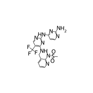 CN(c1ncccc1CNc1nc(Nc2ccnc(N)n2)ncc1C(F)(F)F)S(C)(=O)=O